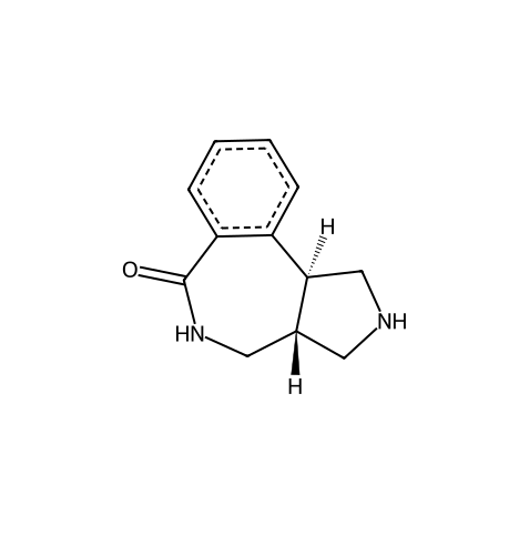 O=C1NC[C@H]2CNC[C@@H]2c2ccccc21